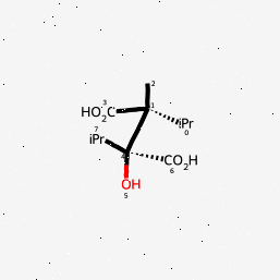 CC(C)[C@@](C)(C(=O)O)[C@](O)(C(=O)O)C(C)C